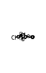 CN1C(=O)N(c2ccc(Cl)cc2)S(=O)(=O)c2ccc(OCc3ccccc3)cc21